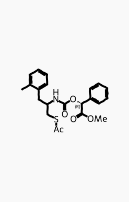 COC(=O)[C@H](OC(=O)NC(CSC(C)=O)Cc1ccccc1C)c1ccccc1